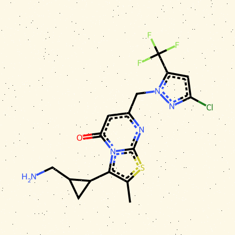 Cc1sc2nc(Cn3nc(Cl)cc3C(F)(F)F)cc(=O)n2c1C1CC1CN